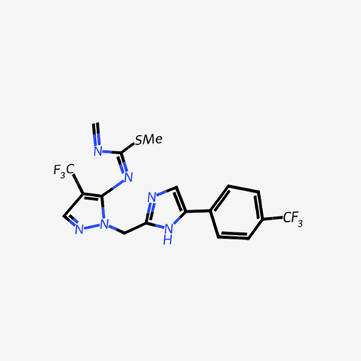 C=N/C(=N\c1c(C(F)(F)F)cnn1Cc1ncc(-c2ccc(C(F)(F)F)cc2)[nH]1)SC